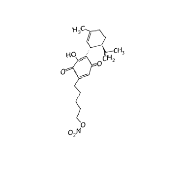 C=C(C)[C@@H]1CCC(C)=C[C@H]1C1=C(O)C(=O)C(CCCCCO[N+](=O)[O-])=CC1=O